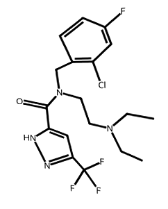 CCN(CC)CCN(Cc1ccc(F)cc1Cl)C(=O)c1cc(C(F)(F)F)n[nH]1